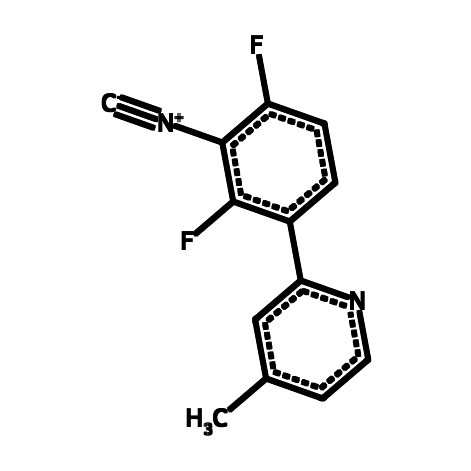 [C-]#[N+]c1c(F)ccc(-c2cc(C)ccn2)c1F